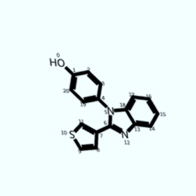 Oc1ccc(-n2c(-c3ccsc3)nc3ccccc32)cc1